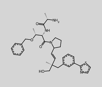 C[C@H](N)C(=O)N[C@H](C(=O)N1CCCC1/C=C/[C@](C)(CO)Cc1cccc(-c2nccs2)c1)[C@@H](C)OCc1ccccc1